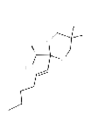 CCCCC=CC1([C@H](C)O)OCC(C)(C)CO1